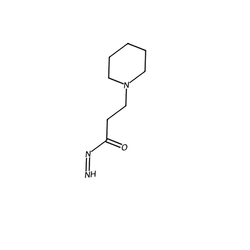 N=NC(=O)CCN1CCCCC1